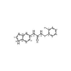 Cc1ccccc1CNC(=O)Nc1ccc2[nH]ccc2c1